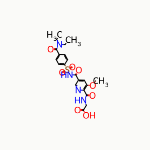 CCN(CC)C(=O)c1ccc(S(=O)(=O)NC(=O)c2cnc(C(=O)NCC(=O)O)c(OC)c2)cc1